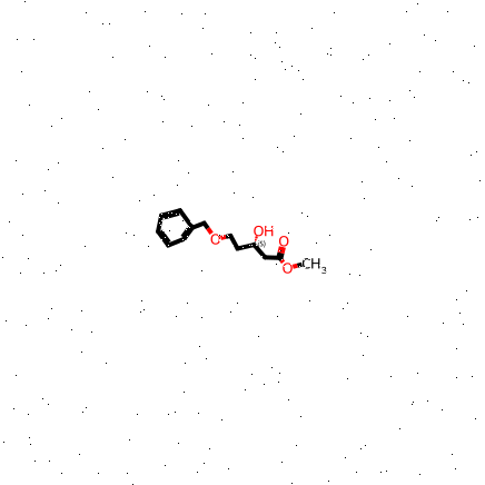 COC(=O)C[C@@H](O)CCOCc1ccccc1